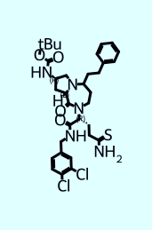 CC(C)(C)OC(=O)N[C@@H]1C[C@H]2C(=O)N([C@H](CCC(N)=S)C(=O)NCc3ccc(Cl)c(Cl)c3)CCC(CCc3ccccc3)N2C1